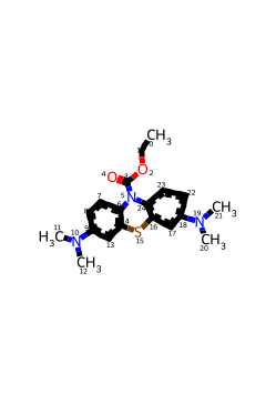 CCOC(=O)N1c2ccc(N(C)C)cc2Sc2cc(N(C)C)ccc21